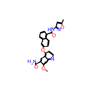 COc1cc2nccc(Oc3ccc4c(C(=O)Nc5cc(C)on5)cccc4c3)c2cc1C(N)=O